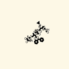 Cn1c(SCC2=C(C(=O)OC(c3ccccc3)c3ccccc3)N3C(=O)[C@@H](NC(=O)C(=NOC4CC4)c4csc(NC=O)n4)[C@@H]3SC2)n[nH]c(=O)c1=O